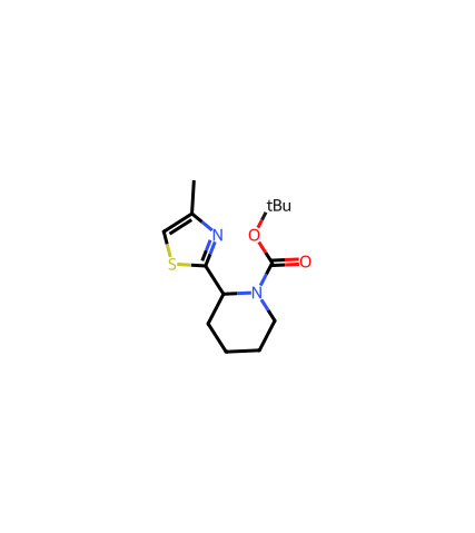 Cc1csc(C2CCCCN2C(=O)OC(C)(C)C)n1